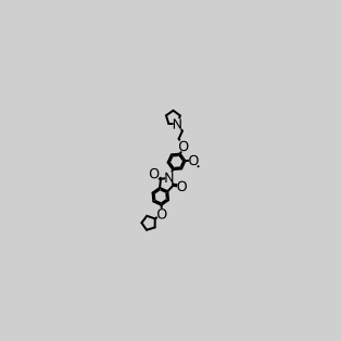 COc1cc(N2C(=O)c3ccc(OC4CCCC4)cc3C2=O)ccc1OCCN1CCCC1